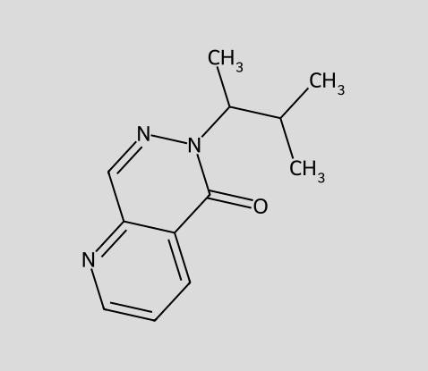 CC(C)C(C)n1ncc2ncccc2c1=O